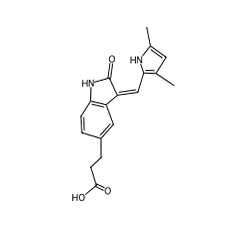 Cc1cc(C)c(/C=C2\C(=O)Nc3ccc(CCC(=O)O)cc32)[nH]1